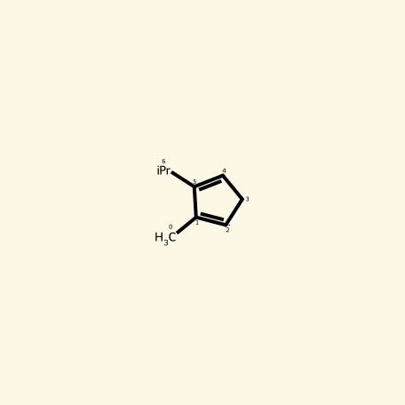 CC1=[C]CC=C1C(C)C